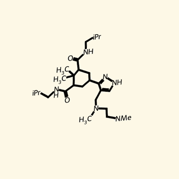 CNCCN(C)Cc1c[nH]nc1C1CC(C(=O)NCC(C)C)C(C)(C)C(C(=O)NCC(C)C)C1